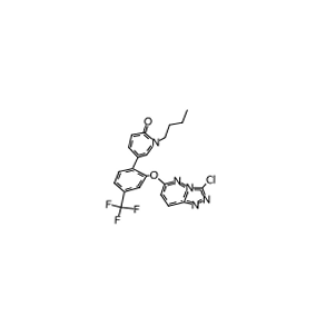 CCCCn1cc(-c2ccc(C(F)(F)F)cc2Oc2ccc3nnc(Cl)n3n2)ccc1=O